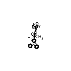 C=C(C)C(=O)OCCC(F)(F)C(F)(F)S(=O)[O-].c1ccc([S+](c2ccccc2)c2ccccc2)cc1